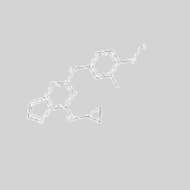 Cc1cc(Nc2nc(NC3CC3)c3occc3n2)ccc1OC(C)C